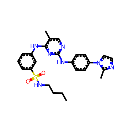 CCCCNS(=O)(=O)c1cccc(Nc2nc(Nc3ccc(-n4ccnc4C)cc3)ncc2C)c1